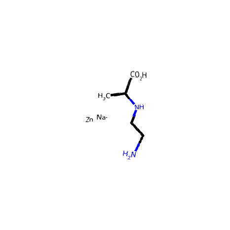 CC(NCCN)C(=O)O.[Na].[Zn]